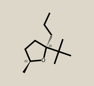 CCC[C@@]1(C(C)(C)C)CC[C@H](C)O1